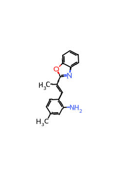 CC(=Cc1ccc(C)cc1N)c1nc2ccccc2o1